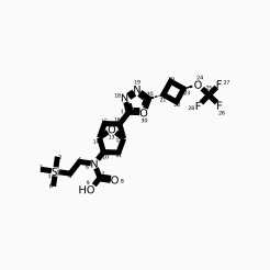 C[Si](C)(C)CCN(C(=O)O)C1CC2OC1CC2c1nnc([C@H]2C[C@@H](OC(F)(F)F)C2)o1